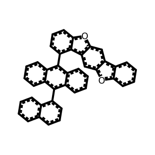 c1ccc2c(-c3c4ccccc4c(-c4cccc5oc6cc7c(cc6c45)oc4ccccc47)c4ccccc34)cccc2c1